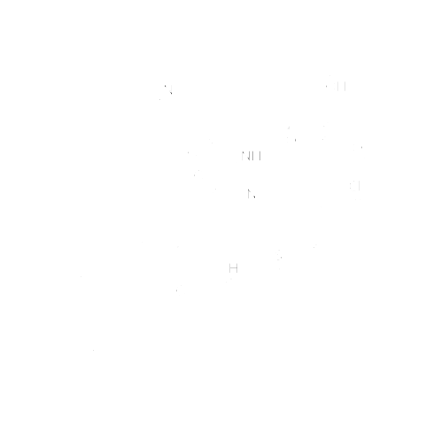 NCC(=O)N[N+]12C(=O)C(c3cc4ccccc4o3)[C@@H]1SCC(Cl)=C2OC(=O)O